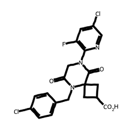 O=C(O)C1CC2(C1)C(=O)N(c1ncc(Cl)cc1F)CC(=O)N2Cc1ccc(Cl)cc1